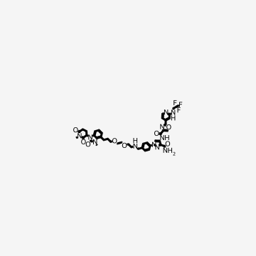 CN1C(=O)CCC(n2c(=O)n(C)c3c(CCCOCCOCCNCc4ccc(-n5cc(NC(=O)c6coc(-c7ccnc(NCC(F)(F)F)c7)n6)c(C(N)=O)n5)cc4)cccc32)C1=O